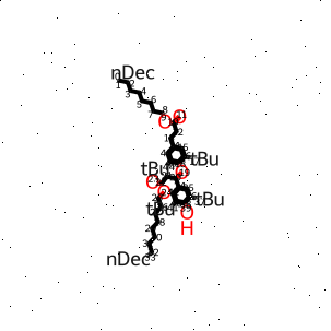 CCCCCCCCCCCCCCCCCCOC(=O)CCc1cc(C(C)(C)C)c(OC(CC(=O)OCCCCCCCCCCCCCCCCCC)c2cc(C(C)(C)C)c(O)c(C(C)(C)C)c2)c(C(C)(C)C)c1